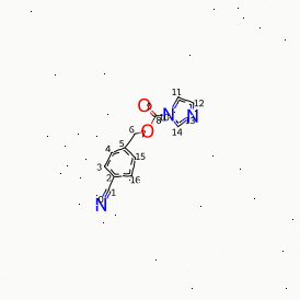 N#Cc1ccc(COC(=O)n2ccnc2)cc1